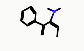 C=C(/C(=C\C)N(C)C)c1ccccc1